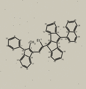 CC/C(=C\c1c(C)n(-c2ccccc2)c2ccccc12)C1=C2C(=C(c3cccc4ccccc34)c3ccccc32)c2ccccc21